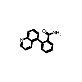 NC(=O)c1ccccc1-c1cccc2ncccc12